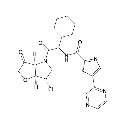 O=C(NC(C(=O)N1C[C@H](Cl)[C@H]2OCC(=O)[C@H]21)C1CCCCC1)c1ncc(-c2cnccn2)s1